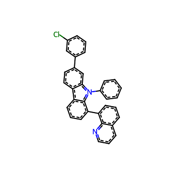 Clc1cccc(-c2ccc3c4cccc(-c5cccc6cccnc56)c4n(-c4ccccc4)c3c2)c1